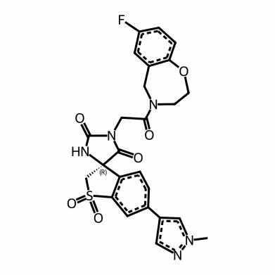 Cn1cc(-c2ccc3c(c2)S(=O)(=O)C[C@@]32NC(=O)N(CC(=O)N3CCOc4ccc(F)cc4C3)C2=O)cn1